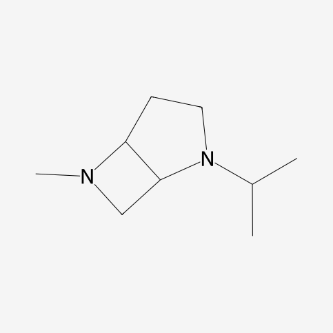 CC(C)N1CCC2C1CN2C